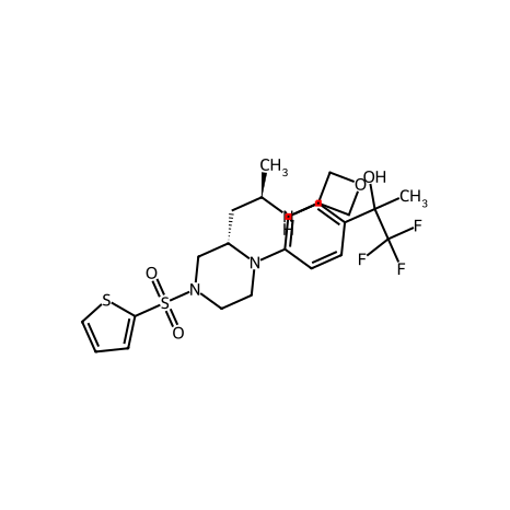 C[C@H](C[C@H]1CN(S(=O)(=O)c2cccs2)CCN1c1ccc(C(C)(O)C(F)(F)F)cc1)NC1COC1